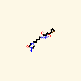 O=C1CN(CCCCCNC(=O)c2cc(-c3cccs3)on2)CCN1